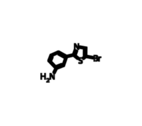 Nc1cccc(-c2ncc(Br)s2)c1